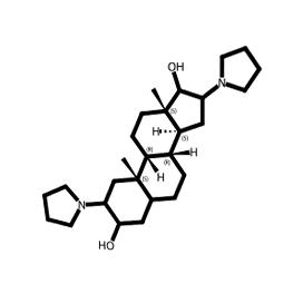 C[C@]12CC(N3CCCC3)C(O)CC1CC[C@@H]1[C@H]2CC[C@]2(C)C(O)C(N3CCCC3)C[C@@H]12